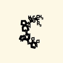 CC(C)(C)OC(=O)N[C@@H]1CCCC12CCN(c1ncc(Sc3ccnc(Cl)c3Cl)c3nccn13)CC2